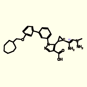 CN(N)/C=C(\N)[C@@H]1CC1c1c(C(=O)O)cnn1-c1cccc(-c2cccc(OCC3CCCCCC3)c2)c1